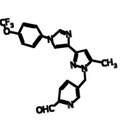 Cc1cc(-c2cn(-c3ccc(OC(F)(F)F)cc3)cn2)nn1Cc1ccc(C=O)nc1